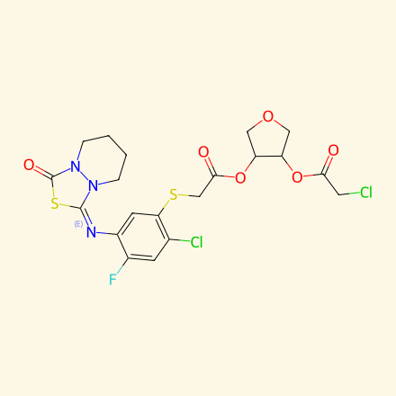 O=C(CCl)OC1COCC1OC(=O)CSc1cc(/N=c2/sc(=O)n3n2CCCC3)c(F)cc1Cl